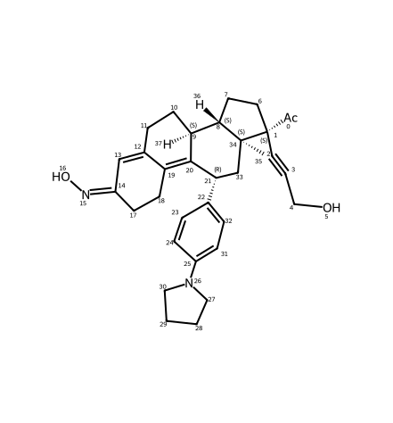 CC(=O)[C@@]1(C#CCO)CC[C@H]2[C@@H]3CCC4=CC(=NO)CCC4=C3[C@@H](c3ccc(N4CCCC4)cc3)C[C@@]21C